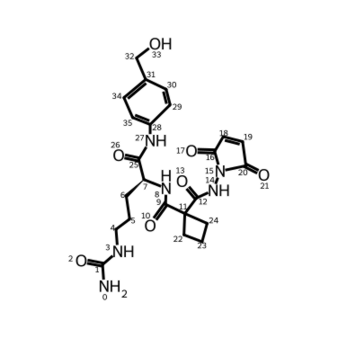 NC(=O)NCCC[C@H](NC(=O)C1(C(=O)NN2C(=O)C=CC2=O)CCC1)C(=O)Nc1ccc(CO)cc1